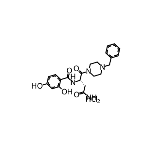 Cl.NC(=O)C[C@H](NC(=O)c1ccc(O)cc1O)C(=O)N1CCN(Cc2ccccc2)CC1